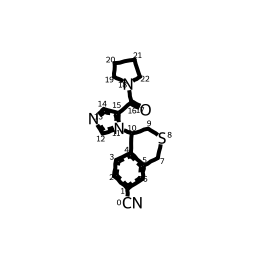 N#Cc1ccc2c(c1)CSCC2n1cncc1C(=O)N1CCCC1